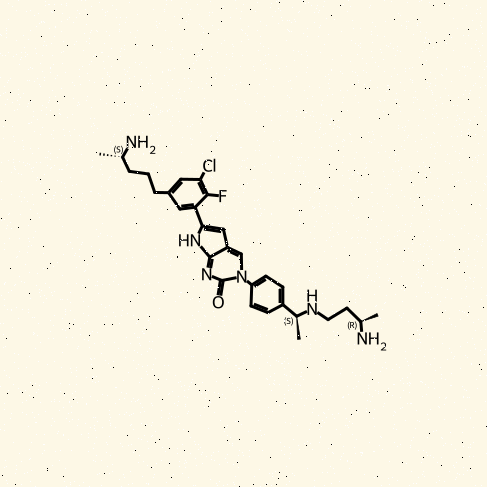 C[C@H](N)CCCc1cc(Cl)c(F)c(-c2cc3cn(-c4ccc([C@H](C)NCC[C@@H](C)N)cc4)c(=O)nc3[nH]2)c1